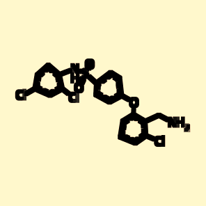 NCc1c(Cl)cccc1Oc1ccc(S(=O)(=O)Nc2ccc(Cl)cc2Cl)cc1